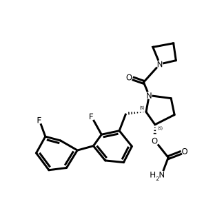 NC(=O)O[C@H]1CCN(C(=O)N2CCC2)[C@H]1Cc1cccc(-c2cccc(F)c2)c1F